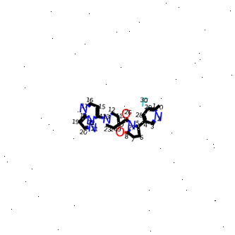 Cc1ncc(C2CCC3OC4(CCN(c5ccnc6ccnn56)CC4)C(=O)N32)cc1F